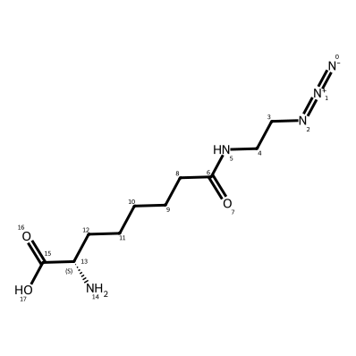 [N-]=[N+]=NCCNC(=O)CCCCC[C@H](N)C(=O)O